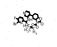 CC(C)(C)OC(=O)N1C(=O)OC2CCC(c3ccncc3NC(=O)c3ccc(F)c(Br)n3)CC21